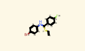 C=CSC(Nc1ccc(Br)cc1)c1ccc(F)cc1